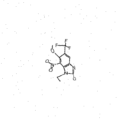 CCn1c(Cl)nc2cc(C(F)(F)F)c(OC)c([N+](=O)[O-])c21